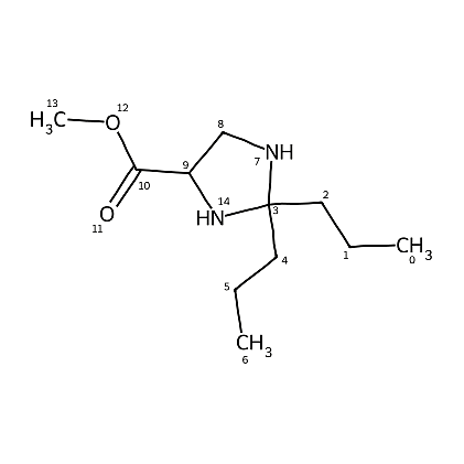 CCCC1(CCC)NCC(C(=O)OC)N1